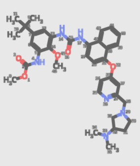 COC(=O)Nc1cc(C(C)(C)C)cc(NC(=O)Nc2ccc(Oc3ccnc(CN4CCC(N(C)C)C4)c3)c3ccccc23)c1OC